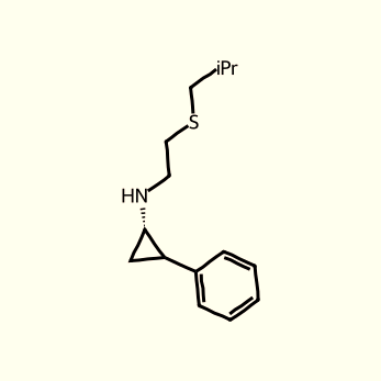 CC(C)CSCCN[C@H]1CC1c1ccccc1